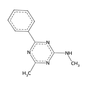 CNc1nc(C)nc(-c2ccccc2)n1